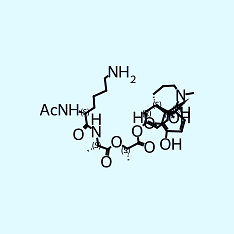 CC(=O)N[C@@H](CCCCN)C(=O)N[C@@H](C)C(=O)O[C@@H](C)C(=O)OC1=CC[C@@]2(O)[C@H]3Cc4ccc(O)c5c4[C@@]2(CCCN3C)[C@H]1O5